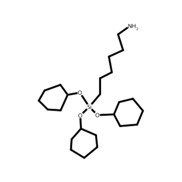 NCCCCCC[Si](OC1CCCCC1)(OC1CCCCC1)OC1CCCCC1